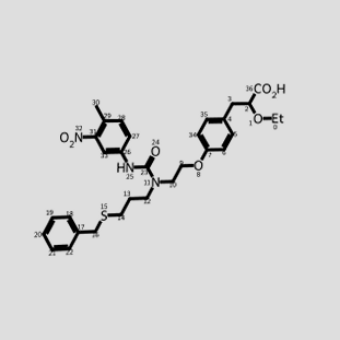 CCOC(Cc1ccc(OCCN(CCCSCc2ccccc2)C(=O)Nc2ccc(C)c([N+](=O)[O-])c2)cc1)C(=O)O